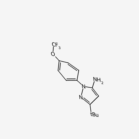 CC(C)(C)c1cc(N)n(-c2ccc(OC(F)(F)F)cc2)n1